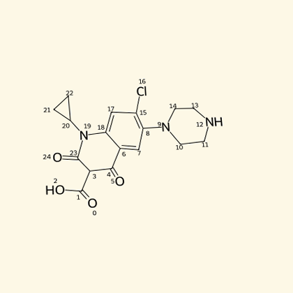 O=C(O)C1C(=O)c2cc(N3CCNCC3)c(Cl)cc2N(C2CC2)C1=O